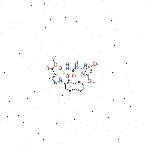 CCOC(=O)c1cnn(-c2ccc3ccccc3n2)c1S(=O)(=O)NC(=O)Nc1nc(OC)cc(OC)n1